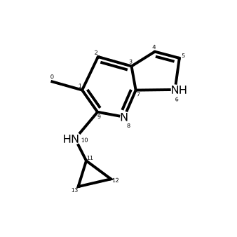 Cc1cc2cc[nH]c2nc1NC1CC1